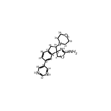 NC1=NC2(CO1)c1cc(-c3cncnc3)ccc1CC2N1CCOCC1